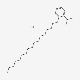 CCCCCCCCCCCCCCCCCc1ccccc1N(C)C.Cl